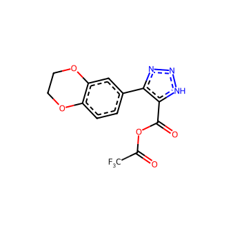 O=C(OC(=O)C(F)(F)F)c1[nH]nnc1-c1ccc2c(c1)OCCO2